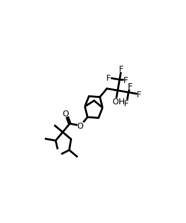 CC(C)CC(C)(C(=O)OC1CC2CC1CC2CC(O)(C(F)(F)F)C(F)(F)F)C(C)C